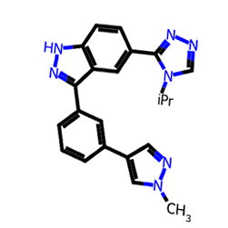 CC(C)n1cnnc1-c1ccc2[nH]nc(-c3cccc(-c4cnn(C)c4)c3)c2c1